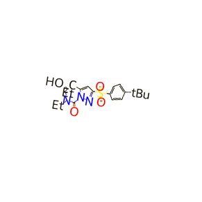 CCN(CC)C(=O)n1nc(S(=O)(=O)c2ccc(C(C)(C)C)cc2)cc1C(=O)O